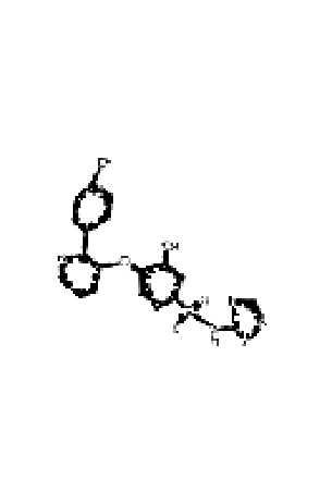 CCc1ccc(-c2ncccc2Oc2ccc(S(=O)(=O)Nc3ncns3)cc2C#N)cc1